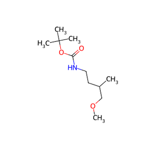 COCC(C)CCNC(=O)OC(C)(C)C